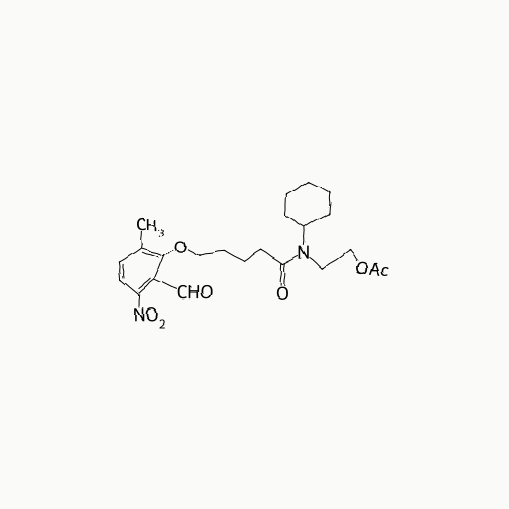 CC(=O)OCCN(C(=O)CCCCOc1c(C)ccc([N+](=O)[O-])c1C=O)C1CCCCC1